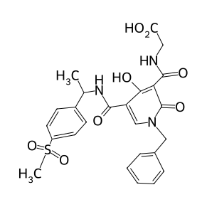 CC(NC(=O)c1cn(Cc2ccccc2)c(=O)c(C(=O)NCC(=O)O)c1O)c1ccc(S(C)(=O)=O)cc1